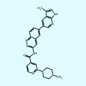 Cc1c[nH]c2ncc(-c3ccc4nnc(NC(=O)c5ccnc(N6CCN(C)CC6)c5)cc4c3)cc12